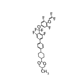 CC1COC(C2CCC(c3ccc(-c4cc(F)c(C(F)(F)Oc5cc(F)c(OC=C(F)F)c(F)c5)c(F)c4)cc3)CC2)OC1